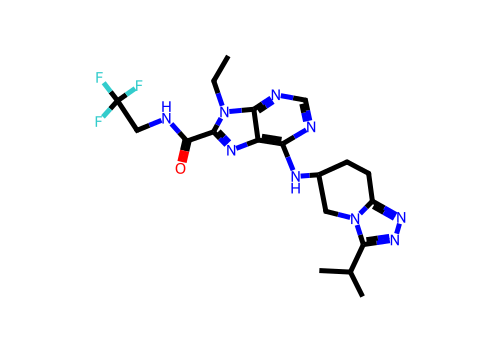 CCn1c(C(=O)NCC(F)(F)F)nc2c(NC3CCc4nnc(C(C)C)n4C3)ncnc21